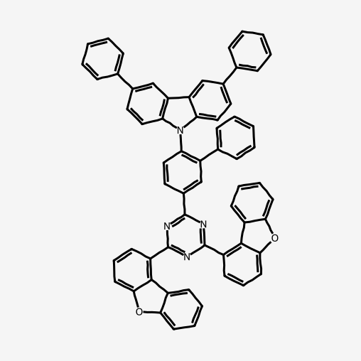 c1ccc(-c2ccc3c(c2)c2cc(-c4ccccc4)ccc2n3-c2ccc(-c3nc(-c4cccc5oc6ccccc6c45)nc(-c4cccc5oc6ccccc6c45)n3)cc2-c2ccccc2)cc1